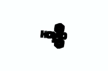 O=c1c(-c2ccccc2)c(CO)sc2ccccc12